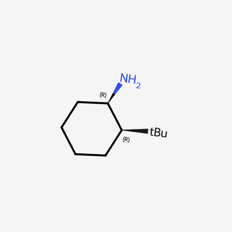 CC(C)(C)[C@H]1CCCC[C@H]1N